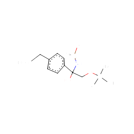 CCOC(=O)Cc1ccc(C(O)(CO[Si](C)(C)C(C)(C)C)N[S@@+]([O-])C(C)(C)C)cc1